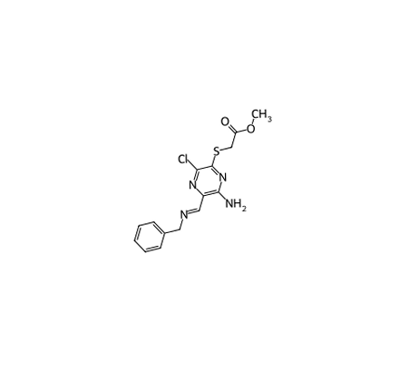 COC(=O)CSc1nc(N)c(/C=N/Cc2ccccc2)nc1Cl